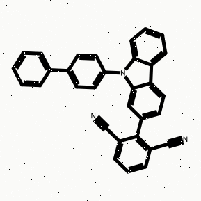 N#Cc1cccc(C#N)c1-c1ccc2c3ccccc3n(-c3ccc(-c4ccccc4)cc3)c2c1